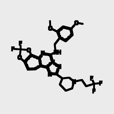 COc1ccc(CNc2nc3c4c(ccc3c3nc(C5CCCN(CCC(F)(F)F)C5)nn23)OC(F)(F)O4)c(OC)c1